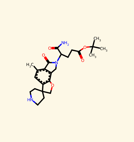 Cc1cc2c(c3c1C(=O)N(C(CCC(=O)OC(C)(C)C)C(N)=O)C3)OCC21CCNCC1